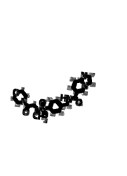 CN(CC(=O)N1CCOCC1)S(=O)(=O)c1ccc(CNC(=O)c2ccc3nccn3c2)cc1